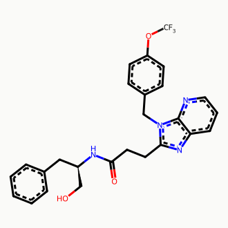 O=C(CCc1nc2cccnc2n1Cc1ccc(OC(F)(F)F)cc1)N[C@@H](CO)Cc1ccccc1